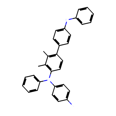 Cc1c(-c2ccc(Nc3ccccc3)cc2)ccc(N(c2ccccc2)c2ccc(N)cc2)c1C